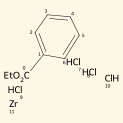 CCOC(=O)c1ccccc1.Cl.Cl.Cl.Cl.[Zr]